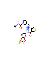 O=C(NC1CC1)c1cc(CNc2cscc2C(=O)Nc2ccc3c(c2)OC(F)(F)O3)ccn1